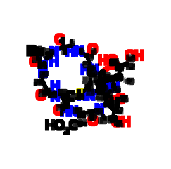 CC[C@H](C)[C@@H]1NC(=O)CNC(=O)C2Cc3c([nH]c4ccccc34)SCC(NC(=O)CNC1=O)C(=O)N[C@@H](CC(=O)O)C(=O)N1C[C@H](O)C[C@H]1C(=O)N[C@@H]([C@@H](C)[C@@H](O)CO)C(=O)N2